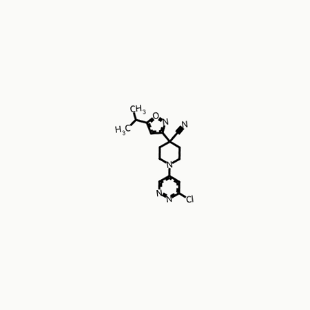 CC(C)c1cc(C2(C#N)CCN(c3cnnc(Cl)c3)CC2)no1